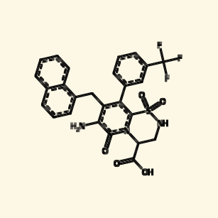 Nc1c(Cc2cccc3ccccc23)c(-c2cccc(C(F)(F)F)c2)c2n(c1=O)C(C(=O)O)CNS2(=O)=O